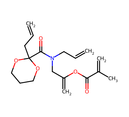 C=CCN(CC(=C)OC(=O)C(=C)C)C(=O)C1(CC=C)OCCCO1